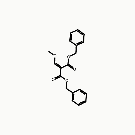 COC=C(C(=O)OCc1ccccc1)C(=O)OCc1ccccc1